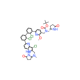 COc1nc(-c2cccc(-c3cccc(-c4ccc5[nH]c(CN(C)[C@H]6CCC(=O)N6)c(Cl)c5n4)c3Cl)c2Cl)ccc1CN(C[C@@H]1CCC(=O)N1)C(=O)OC(C)(C)C